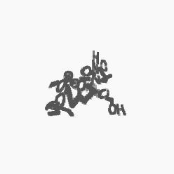 CCOP(=O)(OCC)C(CC1C[C@@H](OCCO)[C@H](n2cc(C)c(=O)[nH]c2=O)O1)O[Si](CC)(CC)CC